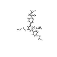 CCCn1cc(-c2ccc(S(=O)(=O)C3CC3)cc2)c(=S)c(-c2ccc(CC)cc2CC)c1